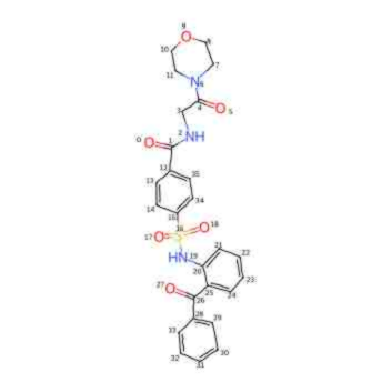 O=C(NCC(=O)N1CCOCC1)c1ccc(S(=O)(=O)Nc2ccccc2C(=O)c2ccccc2)cc1